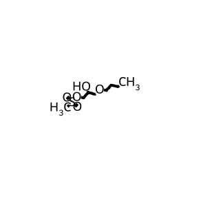 CCCCOCC(O)COS(C)(=O)=O